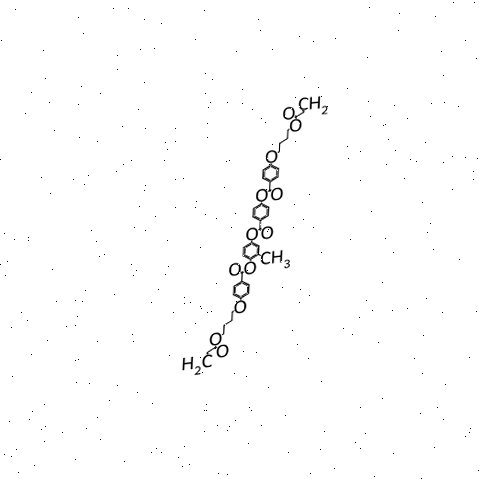 C=CC(=O)OCCCCOc1ccc(C(=O)Oc2ccc(C(=O)Oc3ccc(OC(=O)c4ccc(OCCCCOC(=O)C=C)cc4)c(C)c3)cc2)cc1